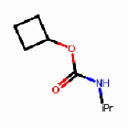 CC(C)NC(=O)OC1CCC1